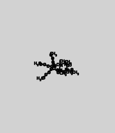 CCC1=C(C)c2cc3[nH]c(c(C)c3C(=O)OCc3cc(OCCOCCOCCOC)c(OCCOCCOCCOC)c(OCCOCCOCCOC)c3)c(Br)c3nc(c4c5[nH]c(cc1n2)c(C)c5C(=O)C4)[C@@H](CCC(=O)OC)[C@@H]3C